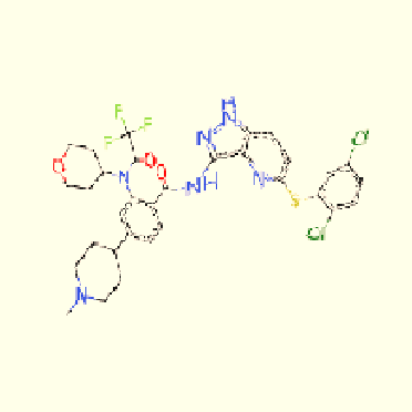 CN1CCC(c2ccc(C(=O)Nc3n[nH]c4ccc(Sc5cc(Cl)ccc5Cl)nc34)c(N(C(=O)C(F)(F)F)C3CCOCC3)c2)CC1